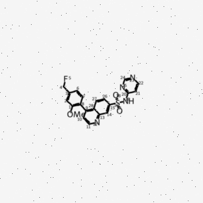 COc1cc(CF)ccc1-c1ccnc2cc(S(=O)(=O)Nc3ccncn3)ccc12